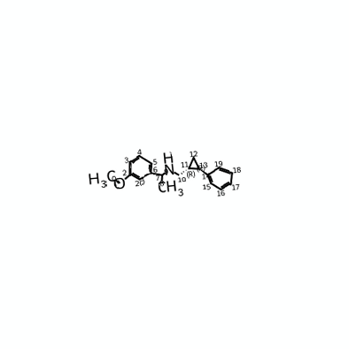 COc1cccc(C(C)NC[C@@H]2C[C@H]2c2ccccc2)c1